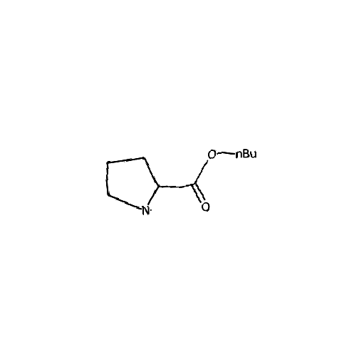 CCCCOC(=O)C1CCC[N]1